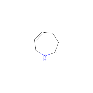 [C]1CCC=CCN1